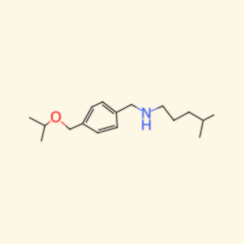 CC(C)CCCNCc1ccc(COC(C)C)cc1